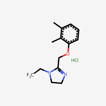 Cc1cccc(OCC2=NCCN2CC(F)(F)F)c1C.Cl